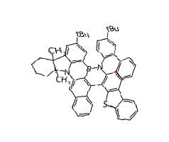 CC(C)(C)c1ccc(N2B3c4cc(C(C)(C)C)cc5c4N(c4cc6ccccc6c(c43)-c3c2ccc2c3sc3ccccc32)C2(C)CCCCC52C)c(-c2ccccc2)c1